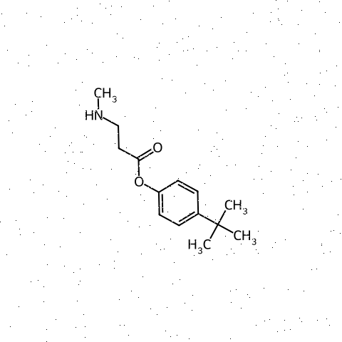 CNCCC(=O)Oc1ccc(C(C)(C)C)cc1